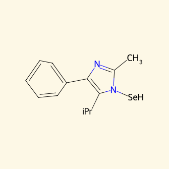 Cc1nc(-c2ccccc2)c(C(C)C)n1[SeH]